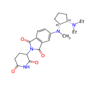 CCN(CC)[C@H]1CCC[C@H]1N(C)c1ccc2c(c1)C(=O)N(C1CCC(=O)NC1=O)C2=O